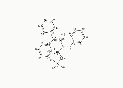 CC(C)(C)OC(=O)[C@@H](Cc1ccccc1I)N=C(c1ccccc1)c1ccccc1